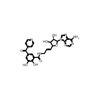 Nc1ncnc2c1ncn2C1OC(C=CCNC(=O)c2cc(C(=O)c3ccncc3)cc(O)c2O)C(O)[C@H]1O